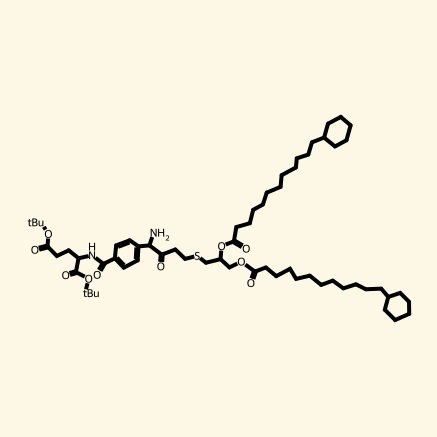 CC(C)(C)OC(=O)CCC(NC(=O)c1ccc(C(N)C(=O)CCSCC(COC(=O)CCCCCCCCCCCC2CCCCC2)OC(=O)CCCCCCCCCCCC2CCCCC2)cc1)C(=O)OC(C)(C)C